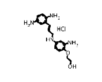 Cl.Nc1ccc(N)c(C=CCNc2ccc(OCCO)c(N)c2)c1